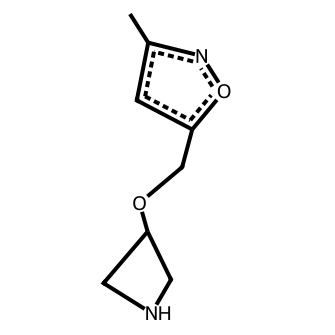 Cc1cc(COC2CNC2)on1